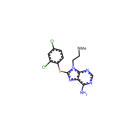 CNCCn1c(Sc2ccc(Cl)cc2Cl)nc2c(N)ncnc21